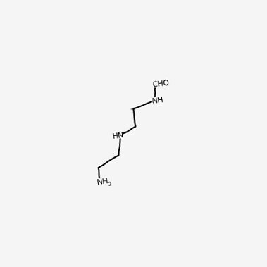 NCCNC[CH]NC=O